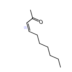 CCCCCC/C=C\C(C)=O